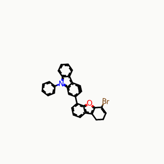 BrC1=CCCc2c1oc1c(-c3c#cc4c5ccccc5n(-c5ccccc5)c4c3)cccc21